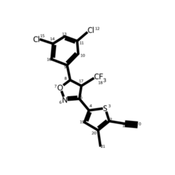 C#Cc1sc(C2=NOC(c3cc(Cl)cc(Cl)c3)C2C(F)(F)F)cc1C